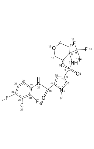 Cn1cc(S(=O)(=O)NC2(C(F)(F)F)CCOCC2)cc1C(=O)Nc1ccc(F)c(Cl)c1F